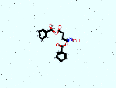 O=C(CC/C(=N/O)OC(=O)c1ccccc1)OC(=O)c1ccccc1